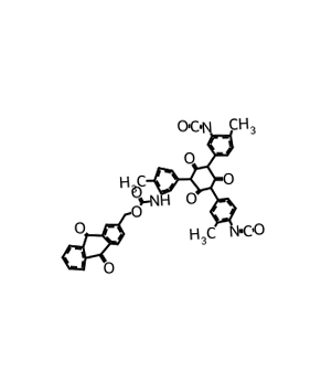 Cc1cc(C2C(=O)C(c3ccc(C)c(N=C=O)c3)C(=O)C(c3ccc(C)c(NC(=O)OCc4ccc5c(c4)C(=O)c4ccccc4C5=O)c3)C2=O)ccc1N=C=O